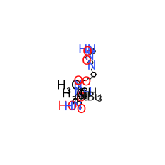 CN(CCNC[C@H](O[Si](C)(C)C(C)(C)C)c1ccc(O)c2[nH]c(=O)ccc12)C(=O)CCOCCc1cccc(CCN2CCC3(CC2)CN(c2ccc[nH]c2=O)CCO3)c1